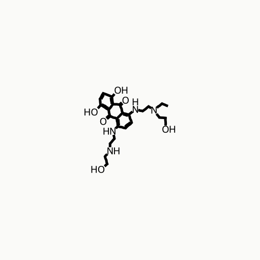 CCN(CCO)CCNc1ccc(NCCNCCO)c2c1C(=O)c1c(O)ccc(O)c1C2=O